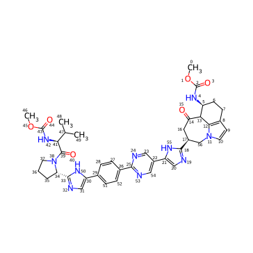 COC(=O)N[C@H]1CCc2ccn3c2C1C(=O)C[C@H](c1ncc(-c2cnc(-c4ccc(-c5cnc([C@@H]6CCCN6C(=O)[C@@H](NC(=O)OC)C(C)C)[nH]5)cc4)nc2)[nH]1)C3